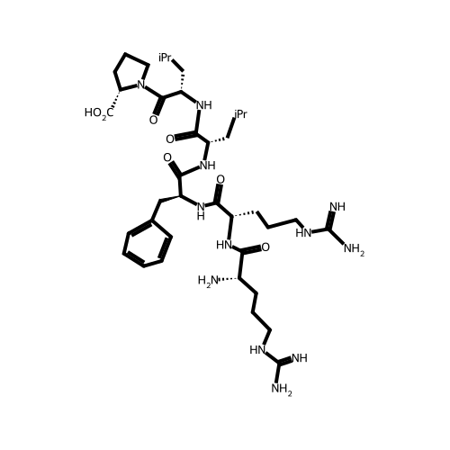 CC(C)C[C@H](NC(=O)[C@H](Cc1ccccc1)NC(=O)[C@H](CCCNC(=N)N)NC(=O)[C@@H](N)CCCNC(=N)N)C(=O)N[C@@H](CC(C)C)C(=O)N1CCC[C@H]1C(=O)O